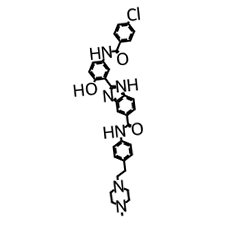 CN1CCN(CCc2ccc(NC(=O)c3ccc4[nH]c(-c5cc(NC(=O)c6ccc(Cl)cc6)ccc5O)nc4c3)cc2)CC1